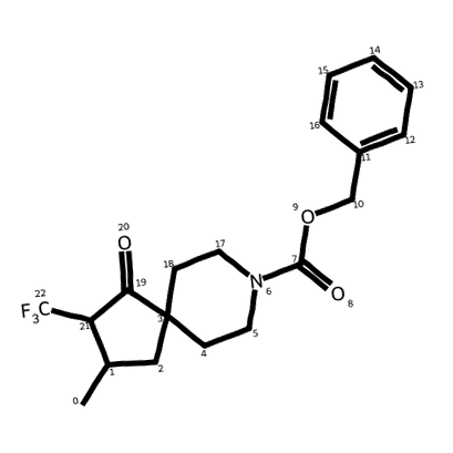 CC1CC2(CCN(C(=O)OCc3ccccc3)CC2)C(=O)C1C(F)(F)F